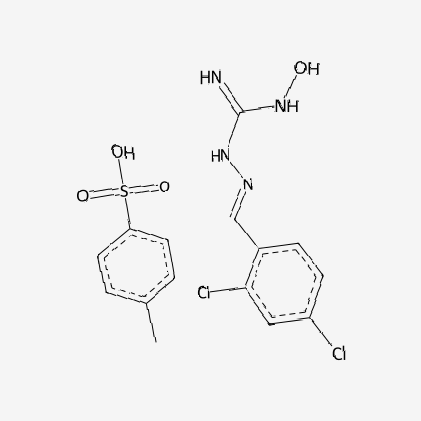 Cc1ccc(S(=O)(=O)O)cc1.N=C(NO)N/N=C/c1ccc(Cl)cc1Cl